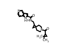 CC1(C)CC1C(=O)N1CCC2(CC1)CC2CNC(=O)c1cc2cnccc2[nH]1